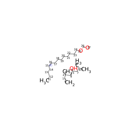 C=CC(=C)CC(O)CC(C)C.CCCC/C=C\CCCCCCCCOC=O